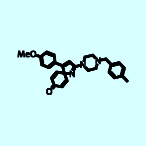 COc1ccc(C2=CC(N3CCN(Cc4ccc(C)cc4)CC3)=NC23C=CC(=O)C=C3)cc1